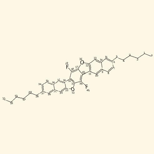 CCCCCCc1ccc2cc3c(cc2c1)oc1c(F)c2c(oc4cc5cc(CCCCCC)ccc5cc42)c(F)c13